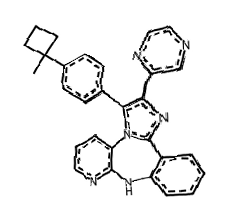 CC1(c2ccc(-c3c(-c4cnccn4)nc4n3-c3cccnc3Nc3ccccc3-4)cc2)CCC1